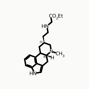 CCOC(=O)CNCC[C@@H]1CC2c3cccc4[nH]cc(c34)C[C@H]2N(C)C1